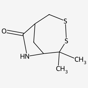 CC1(C)SSCC2CC1NC2=O